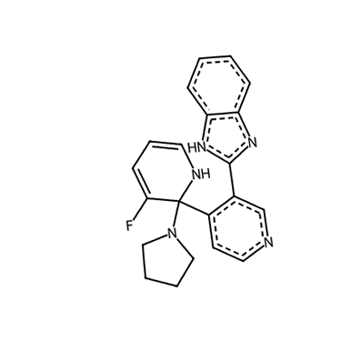 FC1=CC=CNC1(c1ccncc1-c1nc2ccccc2[nH]1)N1CCCC1